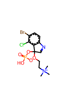 C[N+](C)(C)CCOC1(OP(=O)([O-])O)C=Nc2ccc(Br)c(Cl)c21